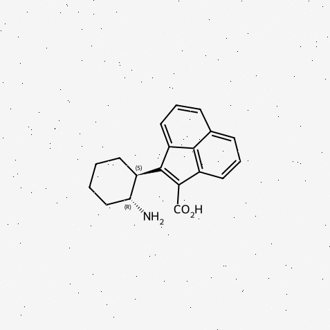 N[C@@H]1CCCC[C@H]1C1=C(C(=O)O)c2cccc3cccc1c23